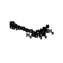 Cc1cc(N(CCOCCOCCOCCOCCOC(=O)c2ccccc2C)C(C)C)ccc1/N=N/c1sc(C#N)c(C)c1C#N